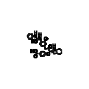 COc1cc(CC(=O)C(Oc2ccc(C(=O)O)cc2)[C@@H]2CC3CCCCC3N2)ccc1NC(=O)Nc1ccccc1Br